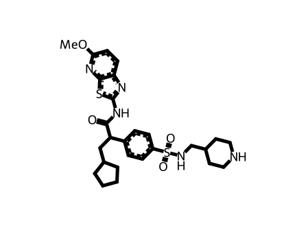 COc1ccc2nc(NC(=O)C(CC3CCCC3)c3ccc(S(=O)(=O)NCC4CCNCC4)cc3)sc2n1